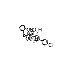 N#Cc1ccccc1C1CC1(C(=O)O)N(CC(=O)O)S(=O)(=O)c1ccc(-c2ccc(Cl)cc2)cc1